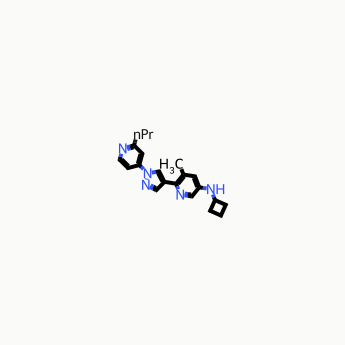 CCCc1cc(-n2cc(-c3ncc(NC4CCC4)cc3C)cn2)ccn1